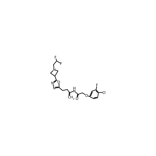 C=C(CCc1nnc(C2CN(CC(F)F)C2)o1)NC(=O)COc1ccc(Cl)c(F)c1